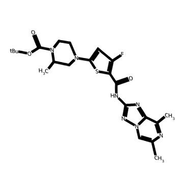 Cc1cn2nc(NC(=O)c3sc(N4CCN(C(=O)OC(C)(C)C)C(C)C4)cc3F)nc2c(C)n1